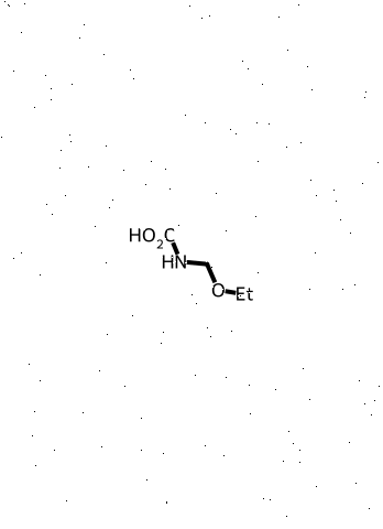 CCOCNC(=O)O